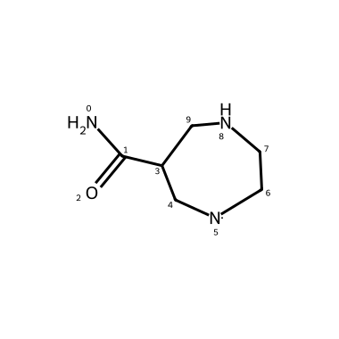 NC(=O)C1C[N]CCNC1